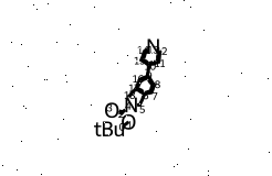 CC(C)(C)OC(=O)N1Cc2ccc(-c3ccncc3)cc2C1